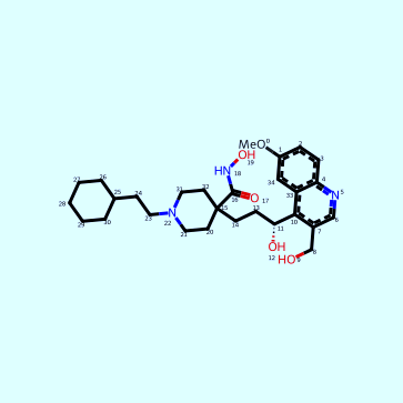 COc1ccc2ncc(CO)c([C@H](O)CCC3(C(=O)NO)CCN(CCC4CCCCC4)CC3)c2c1